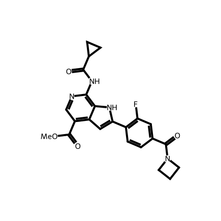 COC(=O)c1cnc(NC(=O)C2CC2)c2[nH]c(-c3ccc(C(=O)N4CCC4)cc3F)cc12